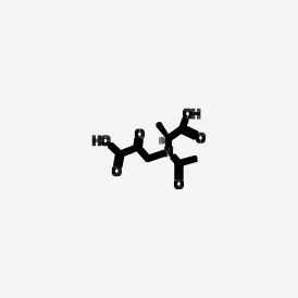 CC(=O)N(CC(=O)C(=O)O)[C@@H](C)C(=O)O